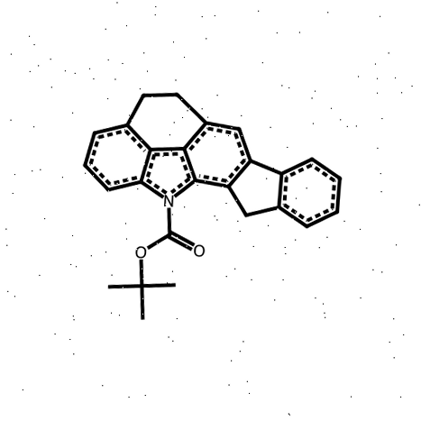 CC(C)(C)OC(=O)n1c2cccc3c2c2c(cc4c(c21)Cc1ccccc1-4)CC3